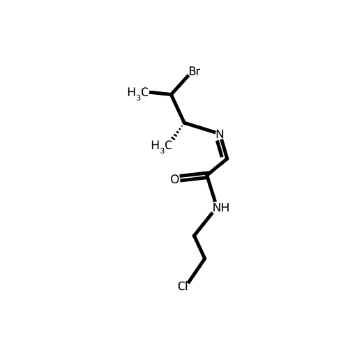 CC(Br)[C@@H](C)/N=C\C(=O)NCCCl